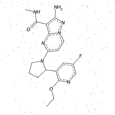 CCOc1ncc(F)cc1C1CCCN1c1ccn2nc(N)c(C(=O)NC)c2n1